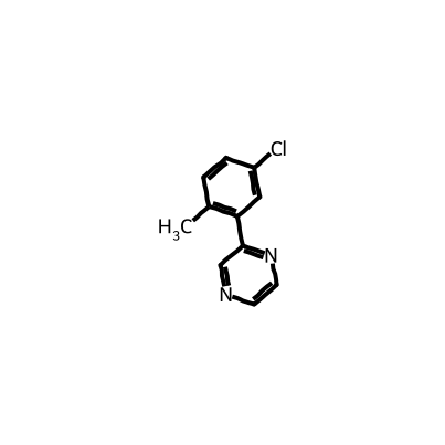 Cc1ccc(Cl)cc1-c1cnccn1